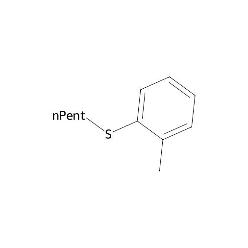 CCCCCSc1ccccc1C